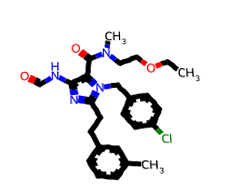 CCOCCN(C)C(=O)c1c(NC=O)nc(CCc2cccc(C)c2)n1Cc1ccc(Cl)cc1